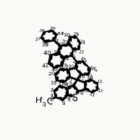 Cc1ccc2c3c(sc2c1)-c1ccccc1C31c2ccccc2-c2c(-c3c4ccccc4c(-c4ccccc4)c4ccccc34)cccc21